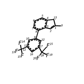 CC1=Cc2c(cccc2-c2cc(C(F)(F)F)cc(C(F)(F)F)c2)[CH]1